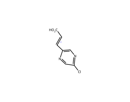 O=C(O)/C=C/c1cnc(Cl)cn1